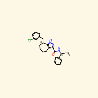 C[C@H](NC(=O)c1n[nH]c2c1CCCC[C@@H]2Cc1cccc(Cl)c1)c1ccccc1